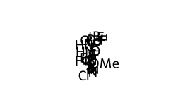 COc1nnc(Cl)cc1C(CC(F)F)n1cc(NC(=O)C(NC(=O)OC(C)(C)C)C2CCC(F)(F)CC2)c(F)n1